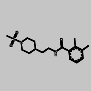 Cc1cccc(C(=O)NCCC2CCN(S(C)(=O)=O)CC2)c1C